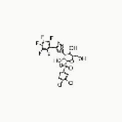 O=S(=O)(c1ccc(Cl)c(Cl)c1)C1OC(CO)C(O)C(n2cc(-c3c(F)c(F)c(F)c(F)c3F)nn2)C1O